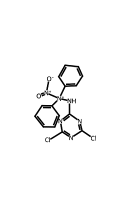 O=[N+]([O-])[N+](Nc1nc(Cl)nc(Cl)n1)(c1ccccc1)c1ccccc1